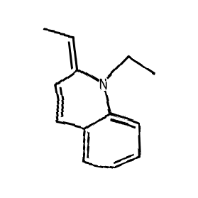 C/C=C1\C=Cc2ccccc2N1CC